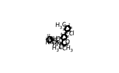 Cc1ccc(Cl)c(-c2ccc3c(c2)OCC(C)(C)C3NC(=O)O[C@H]2CN3CCC2CC3)c1